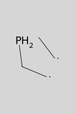 [CH2]C.[CH2]CP